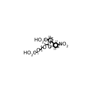 O=C(O)COCCOCC(=O)N1C(c2cccc([N+](=O)[O-])c2)SC[C@H]1C(=O)O